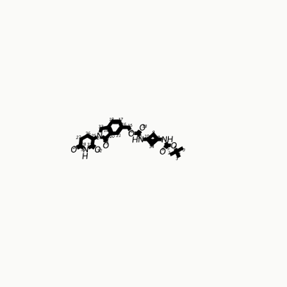 CC(C)(C)OC(=O)NC12CC(NC(=O)OCc3ccc4c(c3)C(=O)N(C3CCC(=O)NC3=O)C4)(C1)C2